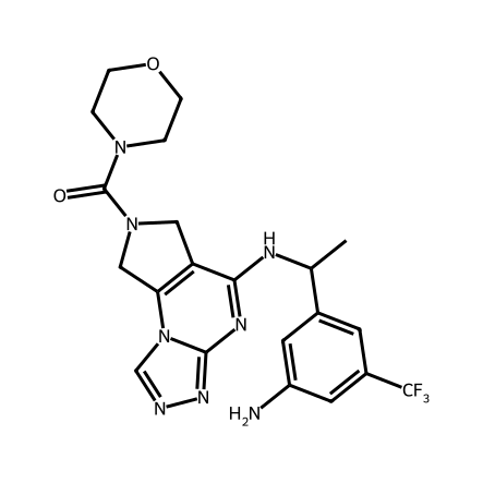 CC(Nc1nc2nncn2c2c1CN(C(=O)N1CCOCC1)C2)c1cc(N)cc(C(F)(F)F)c1